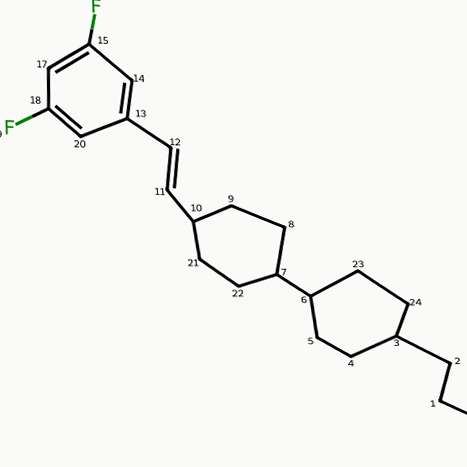 CCCC1CCC(C2CCC(C=Cc3cc(F)cc(F)c3)CC2)CC1